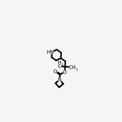 CC(C)(CC1CCNCC1)OC(=O)N1CCC1